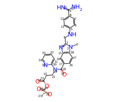 Cn1c(CNc2ccc(C(=N)N)cc2)nc2cc(C(=O)N(CCC(=O)OS(C)(=O)=O)c3ccccn3)ccc21